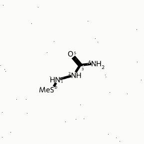 CSNNC(N)=O